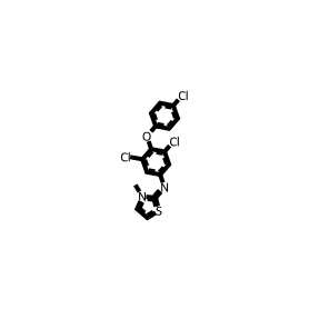 Cn1ccsc1=Nc1cc(Cl)c(Oc2ccc(Cl)cc2)c(Cl)c1